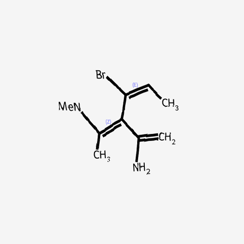 C=C(N)C(=C(\C)NC)/C(Br)=C\C